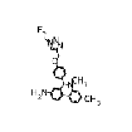 Cc1ccc2c(c1)N(C)C(c1ccc(OCc3cn(CCF)nn3)cc1)c1cc(N)ccc1-2